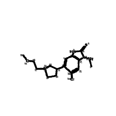 CNn1c(=S)[nH]c2cc(C3CCN(CCOC)C3)c(Cl)cc21